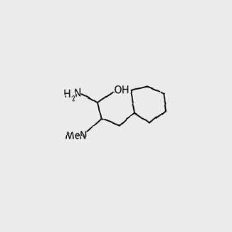 CNC(CC1CCCCC1)C(N)O